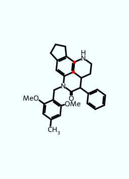 COc1cc(C)cc(OC)c1CN(C(=O)C(c1ccccc1)C1CCNCC1)c1ccc2c(c1)CCC2